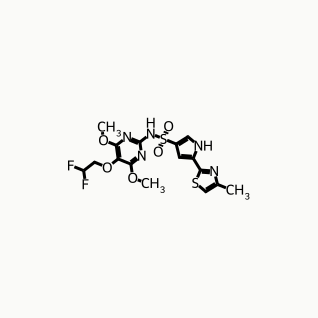 COc1nc(NS(=O)(=O)c2c[nH]c(-c3nc(C)cs3)c2)nc(OC)c1OCC(F)F